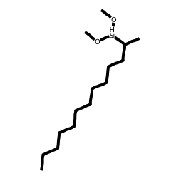 CCCCCCCCCCCC(C)[SiH](OC)OC